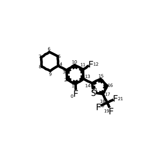 Fc1cc(C2CCCCC2)cc(F)c1-c1ccc(C(F)(F)F)s1